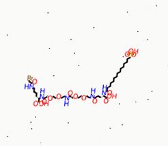 O=C(CBr)NCCCC[C@H](NC(=O)COCCOCCNC(=O)COCCOCCNC(=O)CC[C@H](NC(=O)CCCCCCCCCCCCCCS(=O)(=O)O)C(=O)O)C(=O)O